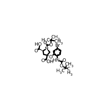 CC(C)(C)OC(=O)Nc1ccc(Br)cc1O[C@]1(C(=O)O)C[C@@H](C(=O)O)N(C(=O)OC(C)(C)C)C1